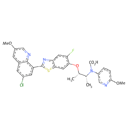 COc1cnc2c(-c3nc4cc(F)c(O[C@@H](C)[C@@H](C)N(C(=O)O)c5ccc(OC)nc5)cc4s3)cc(Cl)cc2c1